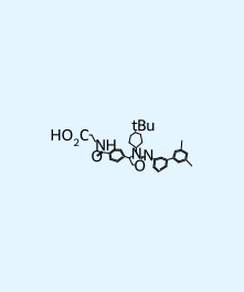 Cc1cc(C)cc(-c2cccc(N=C3OCC(c4ccc(C(=O)NCCC(=O)O)cc4)N3C3CCC(C(C)(C)C)CC3)c2)c1